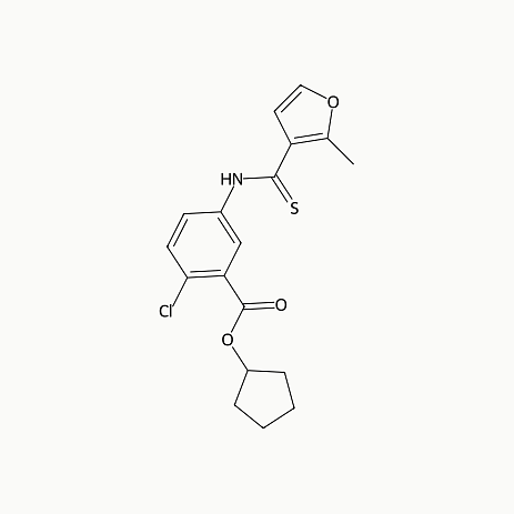 Cc1occc1C(=S)Nc1ccc(Cl)c(C(=O)OC2CCCC2)c1